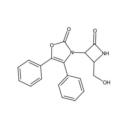 O=C1NC(CO)C1n1c(-c2ccccc2)c(-c2ccccc2)oc1=O